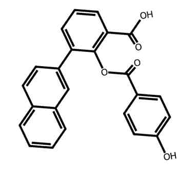 O=C(Oc1c(C(=O)O)cccc1-c1ccc2ccccc2c1)c1ccc(O)cc1